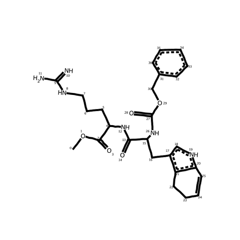 COC(=O)C(CCCNC(=N)N)NC(=O)C(Cc1c[nH]c2c1CCC=C2)NC(=O)OCc1ccccc1